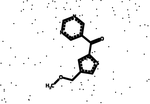 COCc1csc(C(=O)c2cncnc2)c1